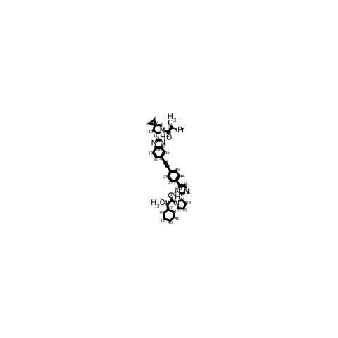 CC(C)[C@H](C)C(=O)N1CC2(CC2)C[C@H]1c1nc2ccc(C#Cc3ccc(-c4cnc([C@@H]5CCCN5C(=O)[C@@H](C)C5CCCCC5)[nH]4)cc3)cc2[nH]1